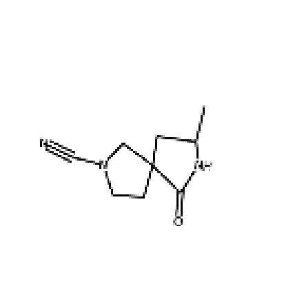 CC1CC2(CCN(C#N)C2)C(=O)N1